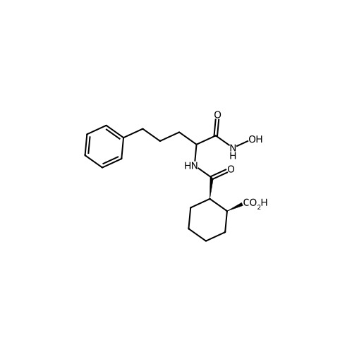 O=C(NO)C(CCCc1ccccc1)NC(=O)[C@@H]1CCCC[C@@H]1C(=O)O